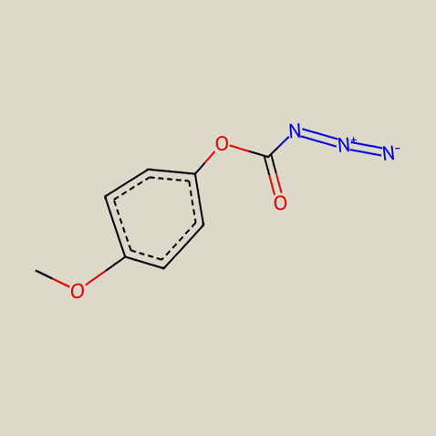 COc1ccc(OC(=O)N=[N+]=[N-])cc1